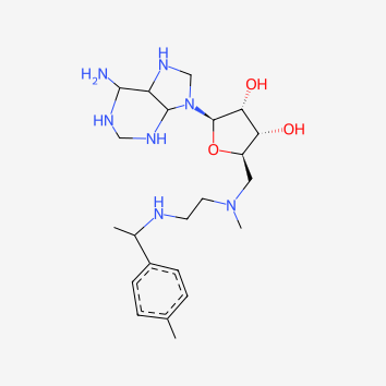 Cc1ccc(C(C)NCCN(C)C[C@H]2O[C@@H](N3CNC4C(N)NCNC43)[C@H](O)[C@@H]2O)cc1